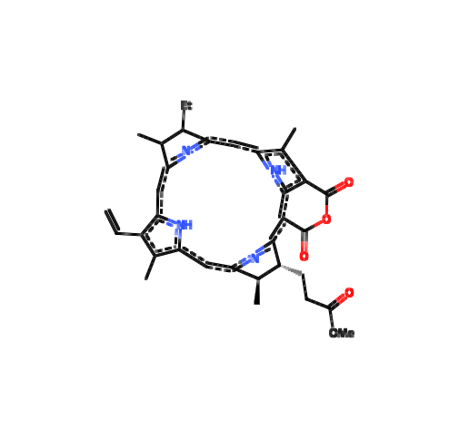 C=Cc1c(C)c2cc3nc(c4c5[nH]c(cc6nc(cc1[nH]2)C(C)C6CC)c(C)c5C(=O)OC4=O)[C@H](CCC(=O)OC)[C@H]3C